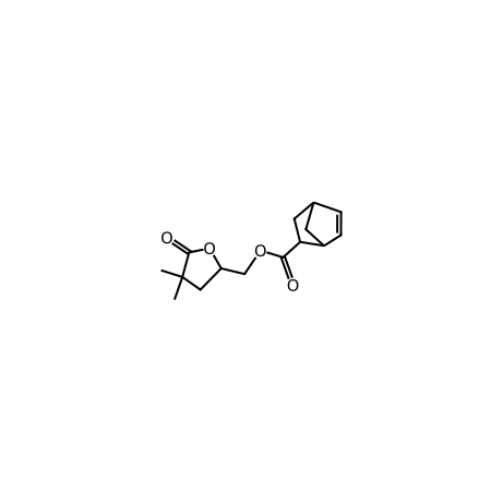 CC1(C)CC(COC(=O)C2CC3C=CC2C3)OC1=O